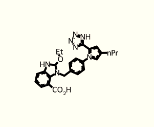 CCCc1cc(-c2nnn[nH]2)n(-c2ccc(CN3c4c(cccc4C(=O)O)NC3OCC)cc2)c1